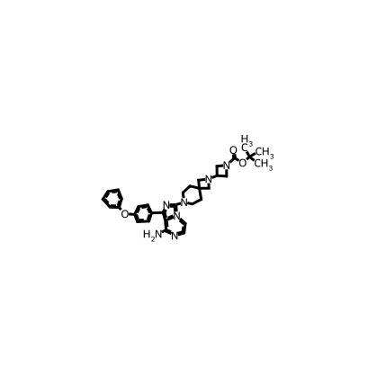 CC(C)(C)OC(=O)N1CC(N2CC3(CCN(c4nc(-c5ccc(Oc6ccccc6)cc5)c5c(N)nccn45)CC3)C2)C1